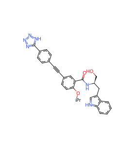 CC(C)Oc1ccc(C#Cc2ccc(-c3nnn[nH]3)cc2)cc1C(=O)N[C@@H](CO)Cc1c[nH]c2ccccc12